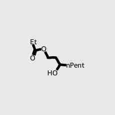 CCCCCC(O)CCOC(=O)CC